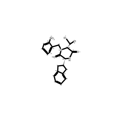 CCC(CC)[C@@H]1C(=O)N[C@H](C2Cc3ccccc3C2)C(=O)N1Cc1ccccc1[N+](=O)[O-]